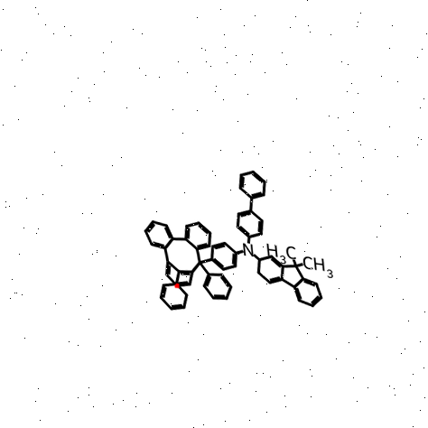 CC1(C)C2=CC(N(c3ccc(-c4ccccc4)cc3)c3ccc(C4(c5ccccc5)c5ccccc5-c5ccccc5-c5cccc4c5C4C=CC=CC4)cc3)CC=C2c2ccccc21